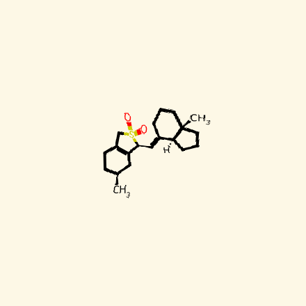 C[C@H]1CCC2=C(C1)[C@H](/C=C1\CCC[C@]3(C)CCC[C@@H]13)S(=O)(=O)C2